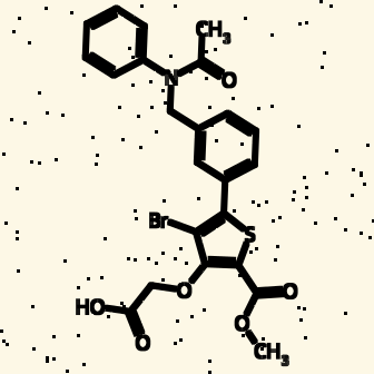 COC(=O)c1sc(-c2cccc(CN(C(C)=O)c3ccccc3)c2)c(Br)c1OCC(=O)O